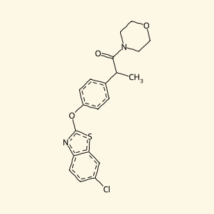 CC(C(=O)N1CCOCC1)c1ccc(Oc2nc3ccc(Cl)cc3s2)cc1